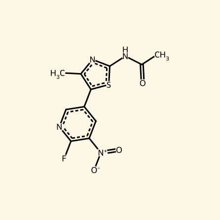 CC(=O)Nc1nc(C)c(-c2cnc(F)c([N+](=O)[O-])c2)s1